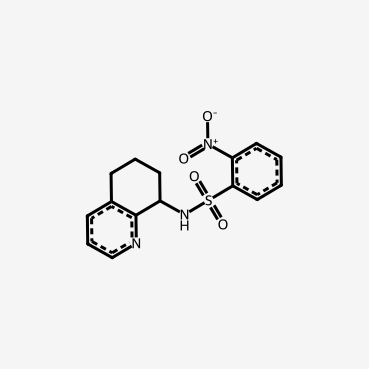 O=[N+]([O-])c1ccccc1S(=O)(=O)NC1CCCc2cccnc21